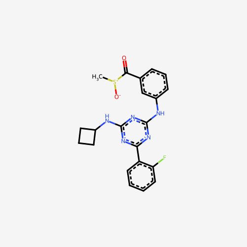 C[S+]([O-])C(=O)c1cccc(Nc2nc(NC3CCC3)nc(-c3ccccc3F)n2)c1